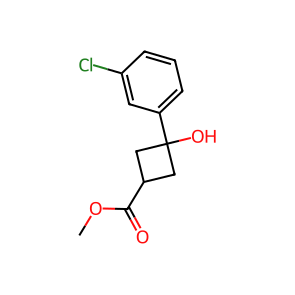 COC(=O)C1CC(O)(c2cccc(Cl)c2)C1